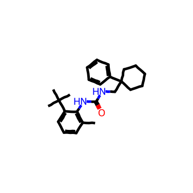 Cc1cccc(C(C)(C)C)c1NC(=O)NCC1(c2ccccc2)CCCCC1